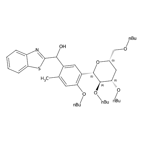 CCCCOC[C@@H]1C[C@H](OCCCC)[C@@H](OCCCC)[C@H](c2cc(C(O)c3nc4ccccc4s3)c(C)cc2OCCCC)O1